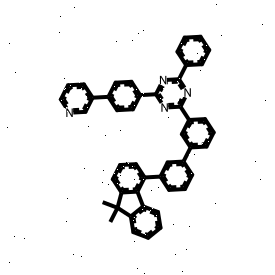 CC1(C)c2ccccc2-c2c(-c3cccc(-c4cccc(-c5nc(-c6ccccc6)nc(-c6ccc(-c7cccnc7)cc6)n5)c4)c3)cccc21